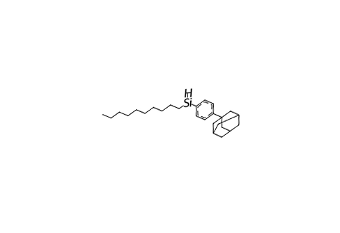 CCCCCCCCCC[SiH](C)c1ccc(C23CC4CC(CC(C4)C2)C3)cc1